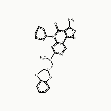 CN(C[C@H]1COc2ccccc2O1)c1ncc2c3[nH]nc(N)c3c(=O)n(-c3ccccc3)c2n1